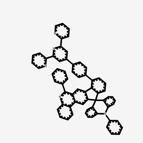 c1ccc(-c2nc3ccccc3c3cc4c(cc23)-c2c(-c3ccc(-c5cc(-c6ccccn6)nc(-c6ccccn6)c5)cc3)cccc2C42c3ccccc3N(c3ccccc3)c3ccccc32)cc1